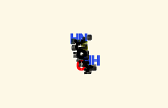 CNC(=S)C(C)Cc1ccc(NC(=O)C(C)C)cc1